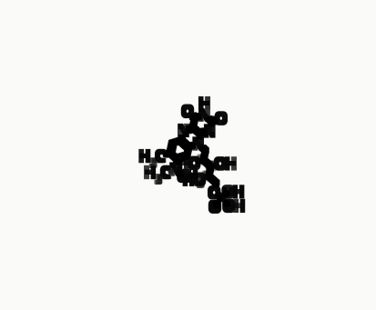 Cc1cc2nc3c(=O)[nH]c(=O)nc-3n(C[C@H](O)[C@@H](O)[C@H](O)COP(=O)(O)O)c2cc1N(C)C